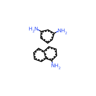 Nc1cccc(N)c1.Nc1cccc2ccccc12